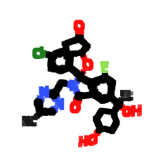 CCC(O)(c1cc(F)c2c(c1)C(=O)N(Cc1ncc(C#N)cn1)[C@@]2(O[C@H]1CCC(=O)C1)c1ccc(Cl)cc1)C1CCC(O)CC1